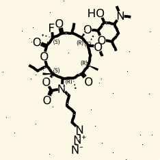 CCC1OC(=O)[C@@](C)(F)C(=O)C(C)[C@@H](OC2OC(C)CC(N(C)C)C2O)[C@@](C)(OC)C[C@@H](C)C(=O)[C@H](C)C2N(CCCCN=[N+]=[N-])C(=O)O[C@]12C